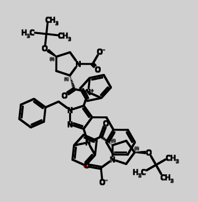 CC(C)(C)O[C@@H]1C[C@@H](C(=O)[N+]2(c3nn(Cc4ccccc4)c([N+]4(C(=O)[C@@H]5C[C@@H](OC(C)(C)C)CN5C(=O)[O-])C5=CC=C4C=C5)c3Cc3ccccc3)C3=CC=C2C=C3)N(C(=O)[O-])C1